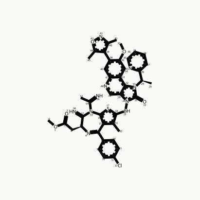 COC(=O)C[C@@H]1N=C(c2ccc(Cl)cc2)c2c(sc(Bn3c(=O)n([C@H](C)c4ccccn4)c4c5cc(OC)c(-c6c(C)noc6C)cc5ncc43)c2C)N(C(C)=N)C1=N